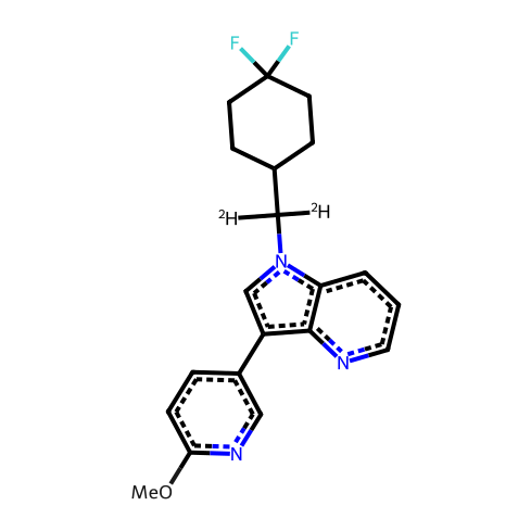 [2H]C([2H])(C1CCC(F)(F)CC1)n1cc(-c2ccc(OC)nc2)c2ncccc21